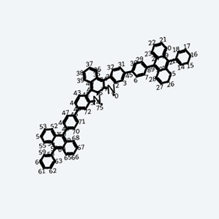 CN1c2cc(-c3ccc(-c4c5c(c(C6=CCCC=C6)c6ccccc46)CCC=C5)cc3)ccc2C2=c3ccccc3=C3c4ccc(-c5ccc(-c6c7ccccc7c(-c7ccccc7)c7ccccc67)cc5)cc4N(C)C3C21